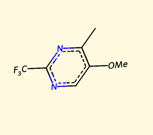 COc1cnc(C(F)(F)F)nc1C